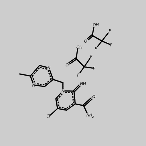 Cc1cnc(Cn2cc(Cl)cc(C(N)=O)c2=N)cn1.O=C(O)C(F)(F)F.O=C(O)C(F)(F)F